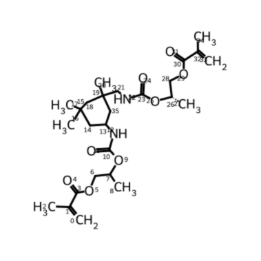 C=C(C)C(=O)OCC(C)OC(=O)NC1CC(C)(C)CC(C)(CNC(=O)O[C@@H](C)COC(=O)C(=C)C)C1